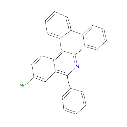 Brc1ccc2c(c1)c(-c1ccccc1)nc1c3ccccc3c3ccccc3c21